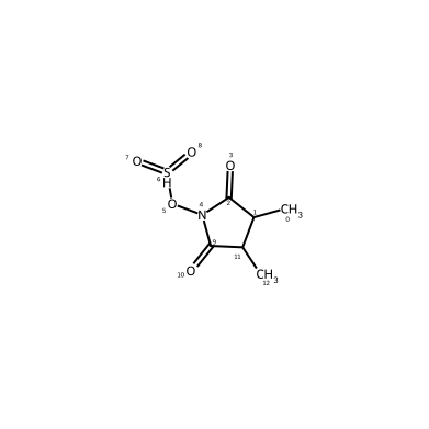 CC1C(=O)N(O[SH](=O)=O)C(=O)C1C